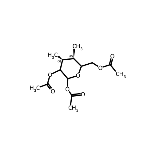 CC(=O)OCC1OC(OC(C)=O)C(OC(C)=O)[C@@H](C)[C@H]1C